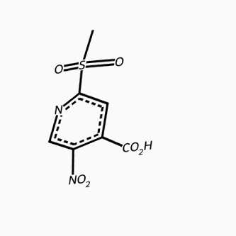 CS(=O)(=O)c1cc(C(=O)O)c([N+](=O)[O-])cn1